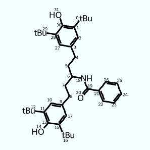 CC(C)(C)c1cc(CCC(CCc2cc(C(C)(C)C)c(O)c(C(C)(C)C)c2)NC(=O)c2ccccc2)cc(C(C)(C)C)c1O